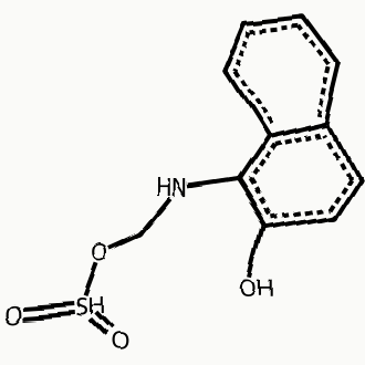 O=[SH](=O)OCNc1c(O)ccc2ccccc12